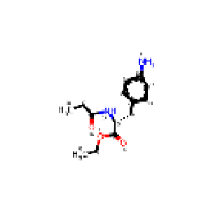 CCOC(=O)[C@@H](Cc1ccc(N)cc1)NC(=O)CC